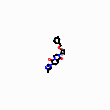 Cc1cn(-c2ccc3n(c2=O)CCN([C@@H]2CC[C@@H]2OCc2ccccc2)C3=O)cn1